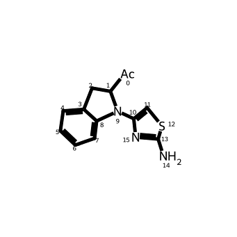 CC(=O)C1Cc2cc[c]cc2N1c1csc(N)n1